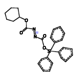 O=C(/N=N/C(=O)O[Si](c1ccccc1)(c1ccccc1)c1ccccc1)OC1CCCCC1